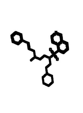 CN(C/C=C/c1ccccc1)CCN(CCN1CCCCC1)S(=O)(=O)c1cccc2cnccc12